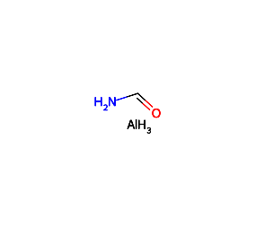 NC=O.[AlH3]